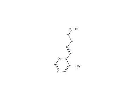 CCCc1ccccc1/C=C/CCC=O